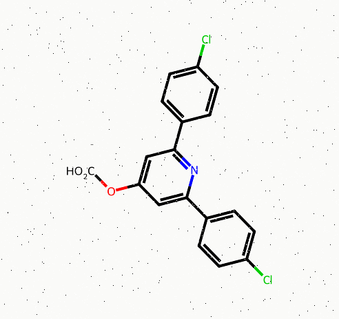 O=C(O)Oc1cc(-c2ccc(Cl)cc2)nc(-c2ccc(Cl)cc2)c1